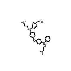 CN(C)CCOB(c1ccccc1)c1ccc(Oc2ccc(B(OCCN(C)C)c3ccc(CO)cc3)cc2)cc1